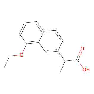 CCOc1cccc2ccc(C(C)C(=O)O)cc12